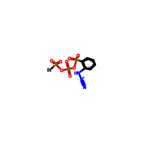 CCS(=O)(=O)OS(=O)(=O)OS(=O)(=O)c1ccccc1N[N+]#N